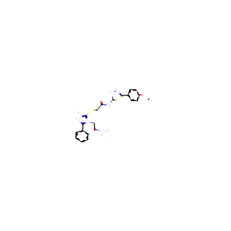 CNC(=O)Cn1c(SCC(=O)NC2NN=C(c3ccc(OC)cc3)S2)nnc1-c1ccccc1